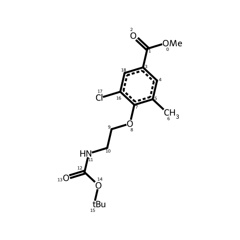 COC(=O)c1cc(C)c(OCCNC(=O)OC(C)(C)C)c(Cl)c1